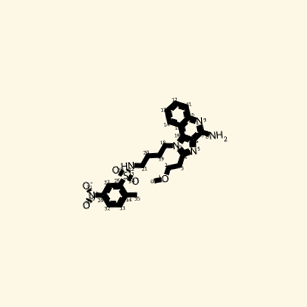 COCCc1nc2c(N)nc3ccccc3c2n1CCCCNS(=O)(=O)c1cc([N+](=O)[O-])ccc1C